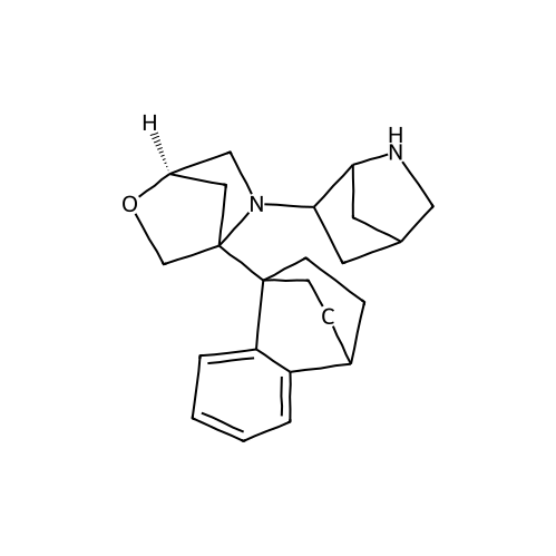 c1ccc2c(c1)C1CCC2(C23CO[C@@H](CN2C2CC4CNC2C4)C3)CC1